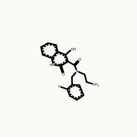 CCCN(Cc1ccccc1F)C(=O)c1c(O)c2ccccc2[nH]c1=O